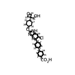 O=C(O)c1ccc(-c2ccc(-c3nc4nc(O[C@H]5CC[C@H](C6(CO)COC6)CC5)[nH]c4cc3Cl)cc2)cc1